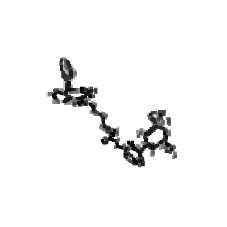 O=C(CCc1nc(-c2cc(C(F)(F)F)cc(C(F)(F)F)c2)no1)NCCCCNc1n[nH]c(=O)c2ccccc12